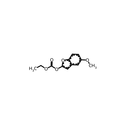 CCOC(=O)Oc1cc2cc(OC)ccc2o1